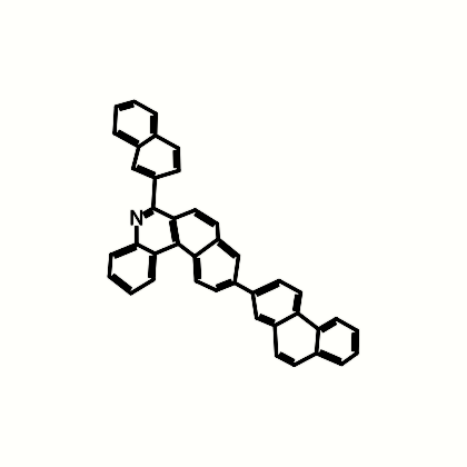 c1ccc2cc(-c3nc4ccccc4c4c3ccc3cc(-c5ccc6c(ccc7ccccc76)c5)ccc34)ccc2c1